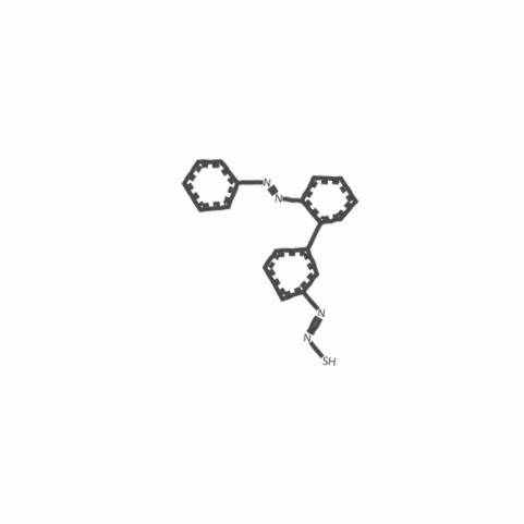 SN=Nc1cccc(-c2ccccc2N=Nc2ccccc2)c1